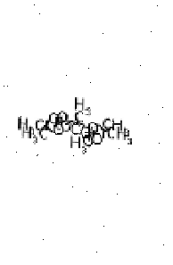 CC1(C)COP(=O)(OCC(C)(C)COP2(=O)OCC(C)(C)CO2)OC1